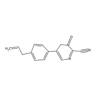 C=CCc1ccc(C2=CN=C(C#N)C(=O)C2)cc1